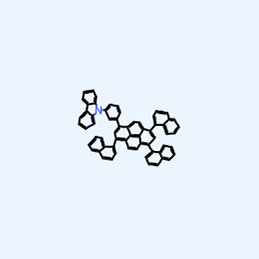 c1cc(-c2cc(-c3cccc4ccccc34)c3ccc4c(-c5cccc6ccccc56)cc(-c5cccc6ccccc56)c5ccc2c3c54)cc(-n2c3ccccc3c3ccccc32)c1